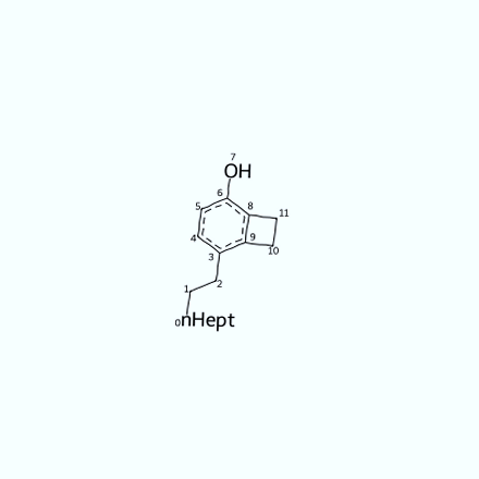 CCCCCCCCCc1ccc(O)c2c1CC2